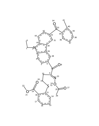 CCn1c2ccc(C(=O)/C(CCSc3ccccc3C(=O)OC)=N/OC(C)=O)cc2c2cc(C(=O)c3ccccc3C)ccc21